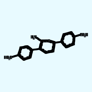 Nc1cc(-c2ccc(C(=O)O)cc2)ccc1-c1ccc(C(=O)O)cc1